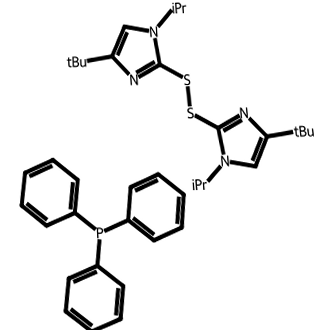 CC(C)n1cc(C(C)(C)C)nc1SSc1nc(C(C)(C)C)cn1C(C)C.c1ccc(P(c2ccccc2)c2ccccc2)cc1